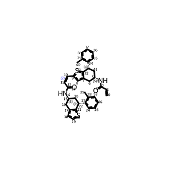 C=CC(=O)N[C@@H]1Cc2cc(/C=C\C(=O)N[C@@H]3Cc4ccsc4[C@@H](c4ccccc4C)C3)sc2[C@H](c2ccccc2C)C1